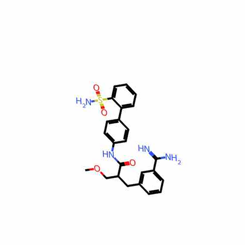 COCC(Cc1cccc(C(=N)N)c1)C(=O)Nc1ccc(-c2ccccc2S(N)(=O)=O)cc1